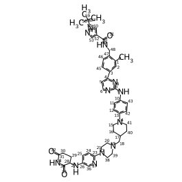 Cc1cc(-c2ccnc(Nc3ccc(N4CCC(CN5CCN(c6ccc(NC7CCC(=O)NC7=O)cn6)CC5)CC4)cc3)n2)ccc1CNC(=O)c1cnn(C(C)(C)C)c1